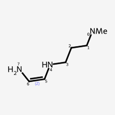 CNCCCN/C=C\N